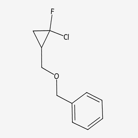 FC1(Cl)CC1COCc1ccccc1